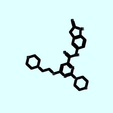 O=C1Cc2cc(NC(=O)c3cc(OCCN4CCOCC4)nc(N4CCOCC4)n3)ccc2N1